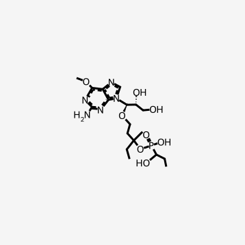 CCC(O)P(=O)(O)OC(C)(CC)CCO[C@H]([C@H](O)CO)n1cnc2c(OC)nc(N)nc21